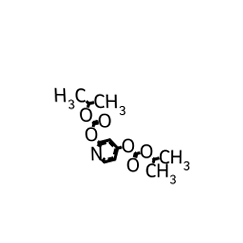 CC(C)OC(=O)Oc1ccnc(OC(=O)OC(C)C)c1